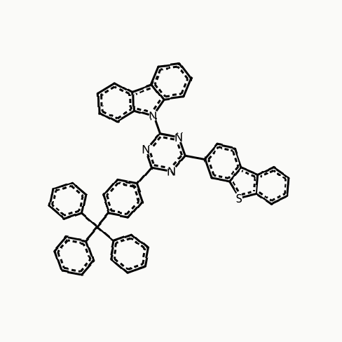 c1ccc(C(c2ccccc2)(c2ccccc2)c2ccc(-c3nc(-c4ccc5c(c4)sc4ccccc45)nc(-n4c5ccccc5c5ccccc54)n3)cc2)cc1